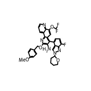 COc1ccc(COc2nc3c(cc(OC(F)F)c4ncccc43)c(-c3ccc(F)c4nn(C5CCCCO5)cc34)c2N)cc1